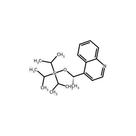 CC(C)[Si](O[C@@H](C)c1ccnc2ccccc12)(C(C)C)C(C)C